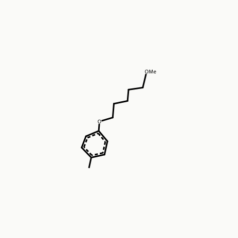 COCCCCCOc1ccc(C)cc1